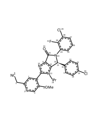 COc1cnc(CC#N)cc1-c1nc2c(n1C(C)C)[C@H](c1ccc(Cl)cc1)N(c1cccc(Cl)c1F)C2=O